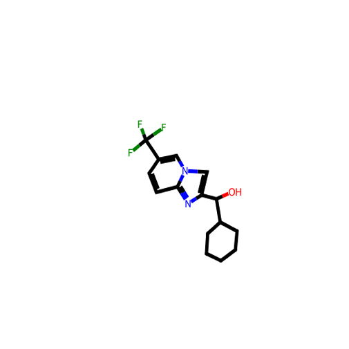 OC(c1cn2cc(C(F)(F)F)ccc2n1)C1CCCCC1